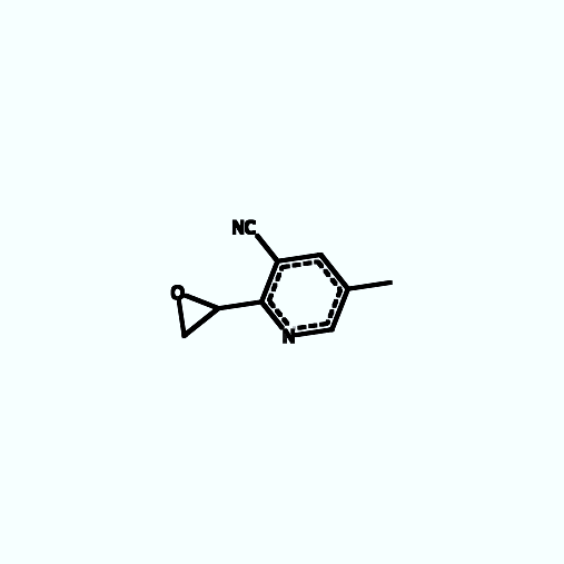 Cc1cnc(C2CO2)c(C#N)c1